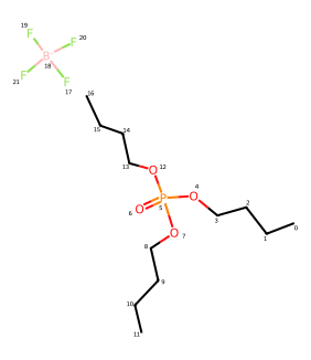 CCCCOP(=O)(OCCCC)OCCCC.F[B-](F)(F)F